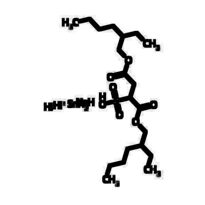 CCCCC(CC)COC(=O)CC(C(=O)OCC(CC)CCCC)S(=O)(=O)O.I.I.[NaH].[SnH2]